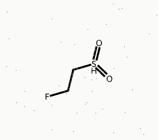 O=[SH](=O)CCF